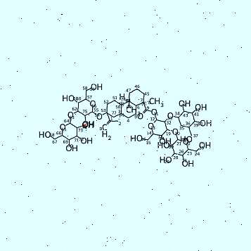 C=C1C[C@@]23CCC4[C@](C)(C(=O)OC5OC(CO)C(O)C(OC6OC(CO)C(O)C(O)C6O)C5OC5CC(CO)C(O)C(O)C5O)CCC[C@@]4(C)[C@@H]2CCC1(OC1OC(CO)C(O)C(OC2OC(CO)C(O)C(O)C2O)C1O)C3